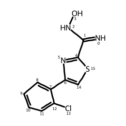 N=C(NO)c1nc(-c2ccccc2Cl)cs1